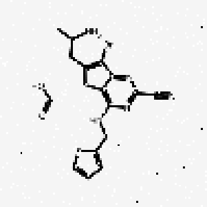 CC(N)Cc1sc2c(NCc3cccs3)nc(C#N)nc2c1Br.O=CO